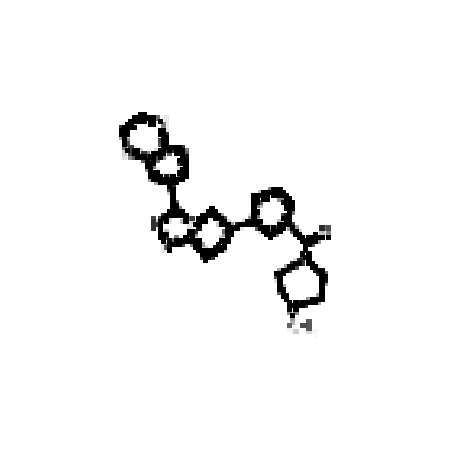 CN1CCN(C(=O)c2cccc(-c3ccc4nnc(-c5ccc6nccnc6c5)n4c3)c2)CC1